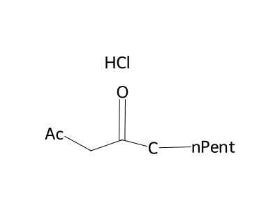 CCCCCCC(=O)CC(C)=O.Cl